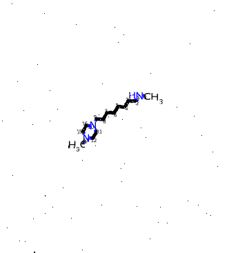 CNCCCCCCCCN1CCN(C)CC1